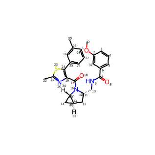 COc1cccc(C(=O)NC[C@@H]2C[C@H]3C[C@@H]3N2C(=O)c2nc(C)sc2-c2cccc(C)c2)c1